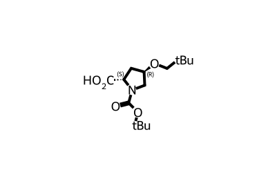 CC(C)(C)CO[C@@H]1C[C@@H](C(=O)O)N(C(=O)OC(C)(C)C)C1